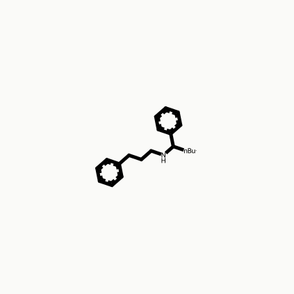 CCC[CH]C(NCCCc1ccccc1)c1ccccc1